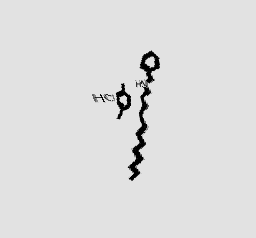 CCCCCCCCCCCCNCc1ccccc1.Cc1ccc(C)cc1.Cl